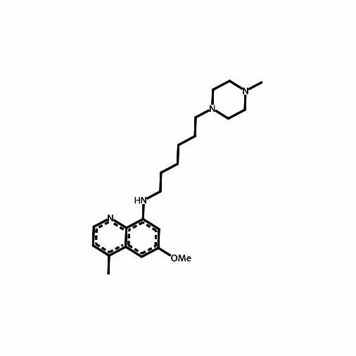 COc1cc(NCCCCCCN2CCN(C)CC2)c2nccc(C)c2c1